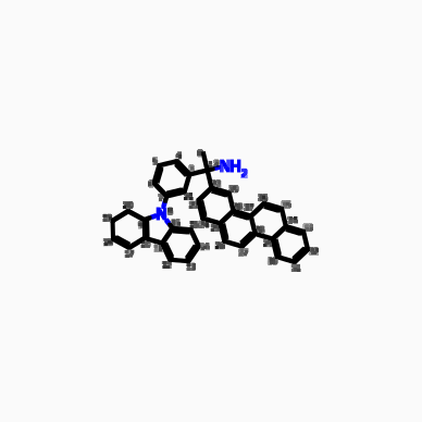 CC(N)(c1cccc(-n2c3c(c4ccccc42)C=CCC3)c1)c1ccc2ccc3c4ccccc4ccc3c2c1